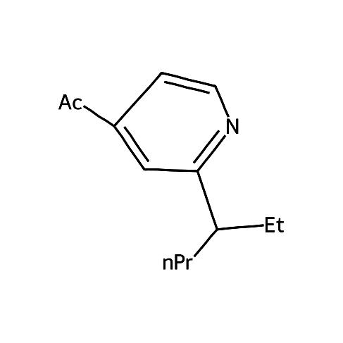 CCCC(CC)c1cc(C(C)=O)ccn1